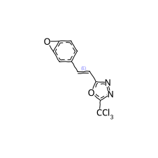 ClC(Cl)(Cl)c1nnc(/C=C/c2ccc3c(c2)O3)o1